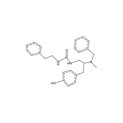 CN(Cc1ccccc1)C(CNC(=O)NCCc1ccccc1)Cc1ccc(O)cc1